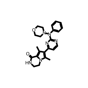 Cc1c(-c2ccnc(N(c3ccccc3)N3CCOCC3)n2)c(C)n2c1C(=O)NCC2